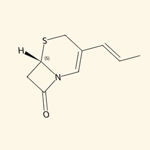 CC=CC1=CN2C(=O)C[C@@H]2SC1